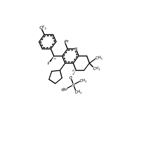 CC(C)c1nc2c(c(C3CCCC3)c1[C@@H](F)c1ccc(C(F)(F)F)cc1)[C@@H](O[Si](C)(C)C(C)(C)C)CC(C)(C)C2